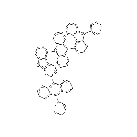 C1=CCC(c2c3ccccc3c(-c3ccc4c(c3)oc3cccc(-c5c6ccccc6c(-c6cccc7c6c6ccccc6n7-c6ccccc6)c6ccccc56)c34)c3ccccc23)C=C1